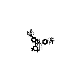 Cc1nnc(-c2ccc3c(c2)nc(Nc2ccc(OC(F)(F)F)cc2)n3C2CC(C)(C)CC(C)(C)C2)o1